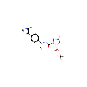 Cc1ncsc1-c1ccc([C@H](CO)NC(=O)C2CC(O)CN2C(=O)OC(C)(C)C)cc1